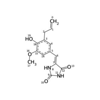 C=CCc1cc(/C=C2\NC(=O)NC2=O)cc(OC)c1O